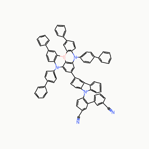 N#Cc1cccc(-c2cc(C#N)ccc2-n2c3ccccc3c3cc(-c4cc5c6c(c4)N(c4ccc(-c7ccccc7)cc4)c4ccc(-c7ccccc7)cc4B6c4cc(-c6ccccc6)ccc4N5c4ccc(-c5ccccc5)cc4)ccc32)c1